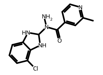 Cc1cc(C(=O)N(N)C2Nc3cccc(Cl)c3N2)ccn1